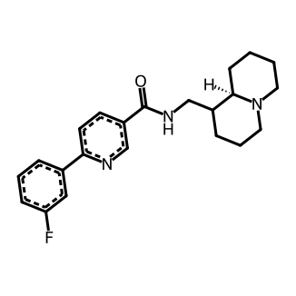 O=C(NCC1CCCN2CCCC[C@H]12)c1ccc(-c2cccc(F)c2)nc1